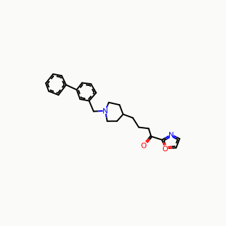 O=C(CCCC1CCN(Cc2cccc(-c3ccccc3)c2)CC1)c1ncco1